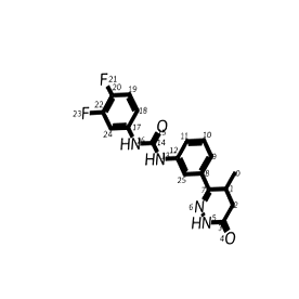 CC1CC(=O)NN=C1c1cccc(NC(=O)Nc2ccc(F)c(F)c2)c1